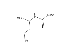 CNC(=O)NC(C=O)CCC(C)C